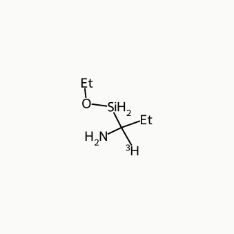 [3H]C(N)(CC)[SiH2]OCC